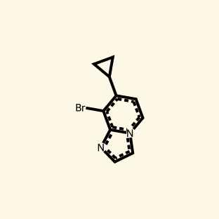 Brc1c(C2CC2)ccn2ccnc12